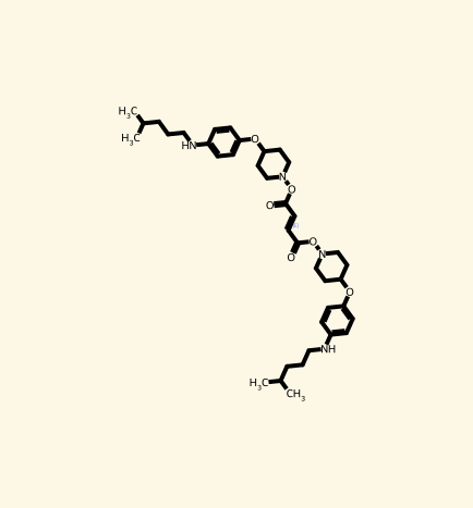 CC(C)CCCNc1ccc(OC2CCN(OC(=O)/C=C/C(=O)ON3CCC(Oc4ccc(NCCCC(C)C)cc4)CC3)CC2)cc1